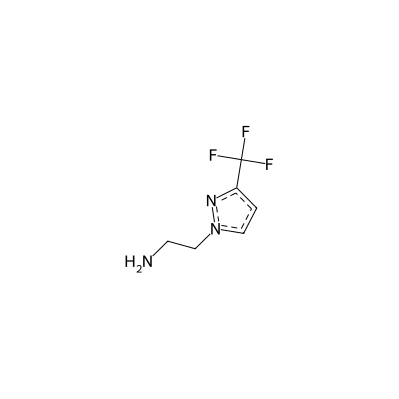 NCCn1ccc(C(F)(F)F)n1